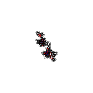 c1ccc(-c2ccc(-c3ccccc3N(c3ccc(-c4cccc5c4oc4ccccc45)cc3)c3ccccc3-c3ccccc3-c3ccc(-c4ccc(-c5cccc(-c6ccc(N(c7ccc(-c8cccc9c8oc8ccccc89)cc7)c7ccccc7-c7ccccc7-c7ccccc7-n7c8ccccc8c8ccccc87)cc6)c5)cc4)cc3-n3c4ccccc4c4ccccc43)cc2)cc1